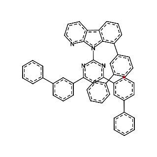 c1ccc(-c2cccc(-c3cc(-c4cccc(-c5ccccc5)c4)nc(-n4c5ncccc5c5cccc(-c6cccc(-c7ccccc7)c6)c54)n3)c2)cc1